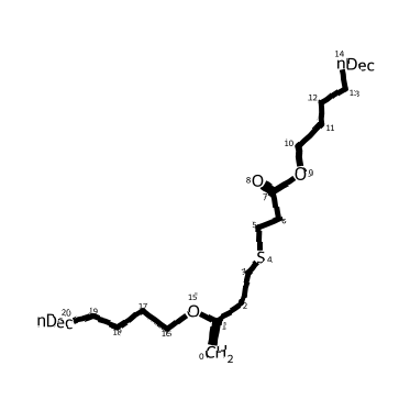 C=C(CCSCCC(=O)OCCCCCCCCCCCCCC)OCCCCCCCCCCCCCC